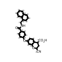 N#CC1CC(C(=O)O)c2ccc(Oc3ccc(C(=O)NCc4cccc5ccccc45)cc3)cc2O1